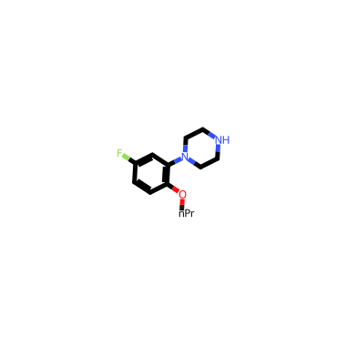 CCCOc1ccc(F)cc1N1CCNCC1